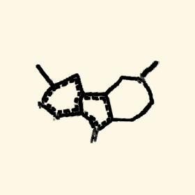 Cc1cc2c3c([nH]c2nn1)CCN(C)C3